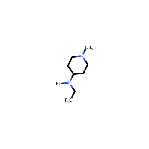 CCN(CC(F)(F)F)C1CCN(C)CC1